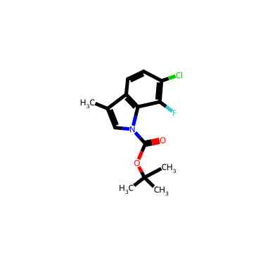 Cc1cn(C(=O)OC(C)(C)C)c2c(F)c(Cl)ccc12